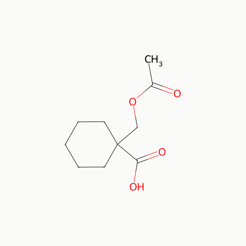 CC(=O)OCC1(C(=O)O)CCCCC1